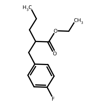 CCCC(Cc1ccc(F)cc1)C(=O)OCC